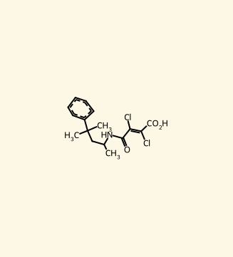 CC(CC(C)(C)c1ccccc1)NC(=O)C(Cl)=C(Cl)C(=O)O